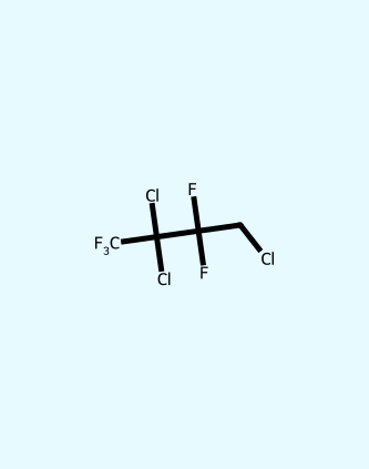 FC(F)(F)C(Cl)(Cl)C(F)(F)CCl